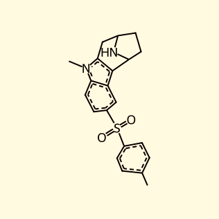 Cc1ccc(S(=O)(=O)c2ccc3c(c2)c2c(n3C)CC3CCC2N3)cc1